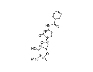 CSS[C@H](C)OC1C[C@H](n2ccc(NC(=O)c3ccccc3)nc2=O)O[C@@H]1CO